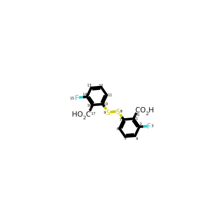 O=C(O)c1c(F)cccc1SSc1cccc(F)c1C(=O)O